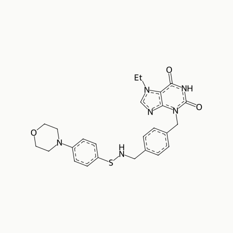 CCn1cnc2c1c(=O)[nH]c(=O)n2Cc1ccc(CNSc2ccc(N3CCOCC3)cc2)cc1